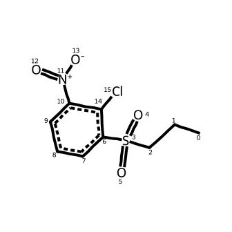 CCCS(=O)(=O)c1cccc([N+](=O)[O-])c1Cl